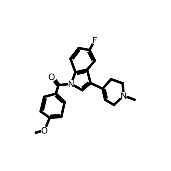 COc1ccc(C(=O)n2cc(C3=CCN(C)CC3)c3cc(F)ccc32)cc1